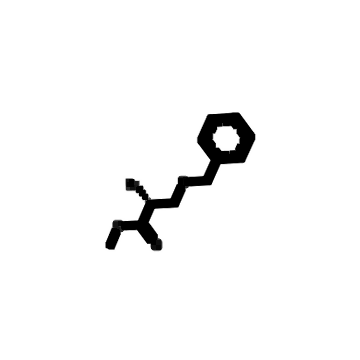 COC(=O)[C@H](Br)COCc1ccccc1